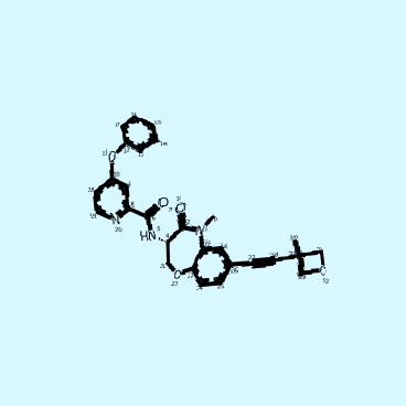 CN1C(=O)[C@@H](NC(=O)c2cc(Oc3ccccc3)ccn2)COc2ccc(C#CC3(C)COC3)cc21